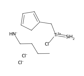 CCCC[NH-].[Cl-].[Cl-].[SiH2]=[Ti+3]([Cl])[CH2]C1=CC=CC1